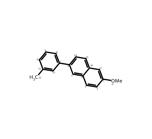 COc1ccc2cc(-c3cccc(C)c3)ccc2c1